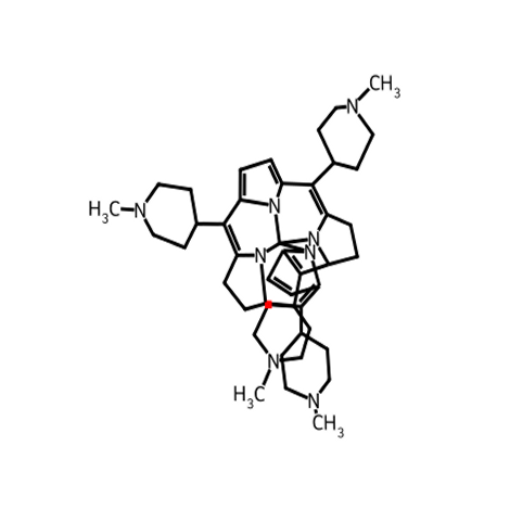 CN1CCC(C2=C3CCC4C(C5CCN(C)CC5)=c5ccc6n5C5(N34)N3C(=C(C4CCN(C)CC4)c4ccc2n45)CCC3C=6C2CCN(C)CC2)CC1